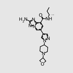 CC[C@H](C)NC(=O)c1cc(-c2cnn(C3CCN(C4COC4)CC3)c2)cn2nc(N)nc12